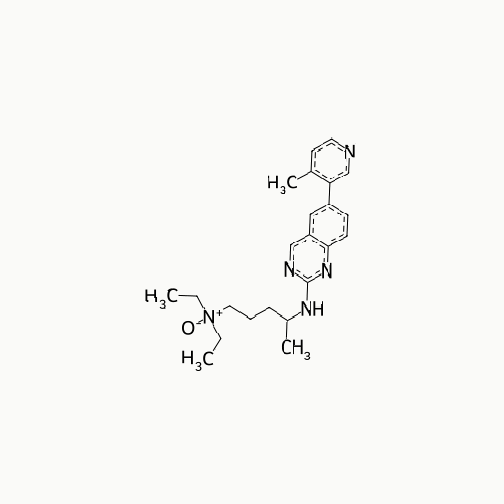 CC[N+]([O-])(CC)CCCC(C)Nc1ncc2cc(-c3cnccc3C)ccc2n1